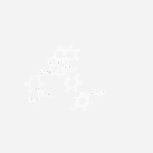 C[C@](NS(=O)(=O)c1ccc(I)cc1)(C(=O)NC[C@@H]1CCCN(C(=N)N)C1)c1cccc2ccccc12.Cc1ccc(S(=O)(=O)O)cc1